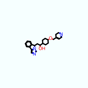 OC(CC1c2ccccc2-c2cncn21)C1CCC(OCC2=CC=NCC2)CC1